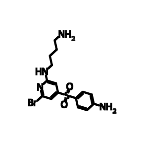 NCCCCNc1cc(S(=O)(=O)c2ccc(N)cc2)cc(Br)n1